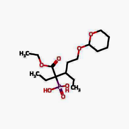 CCOC(=O)C(CC)(C(CC)CCOC1CCCCO1)P(=O)(O)O